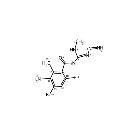 CN/C(=N\N=N)NC(=O)c1c(F)cc(Br)c(N)c1C